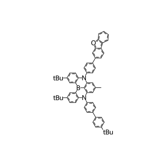 Cc1cc2c3c(c1)N(c1ccc(-c4ccc5c(c4)oc4ccccc45)cc1)c1ccc(C(C)(C)C)cc1B3c1cc(C(C)(C)C)ccc1N2c1ccc(-c2ccc(C(C)(C)C)cc2)cc1